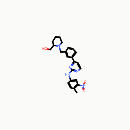 Cc1ccc(Nc2nccc(-c3cccc(CN4CCCCC4CO)c3)n2)cc1[N+](=O)[O-]